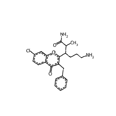 CC(C(N)=O)C(CCCN)c1oc2cc(Cl)ccc2c(=O)c1Cc1ccccc1